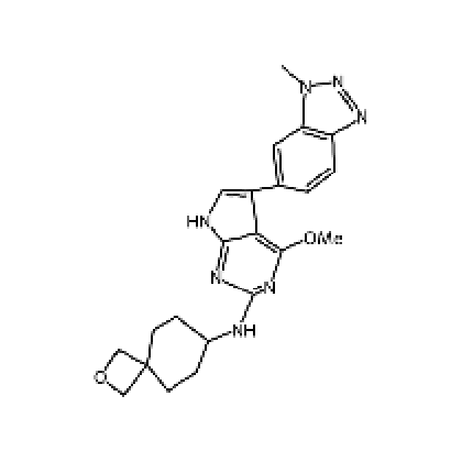 COc1nc(NC2CCC3(CC2)COC3)nc2[nH]cc(-c3ccc4nnn(C)c4c3)c12